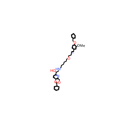 COc1cc(/C=C/CCOCCCCCCNCC(O)c2ccc3c(n2)COC(c2ccccc2)O3)ccc1OCc1ccccc1